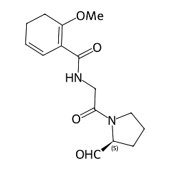 COC1=C(C(=O)NCC(=O)N2CCC[C@H]2C=O)C=CCC1